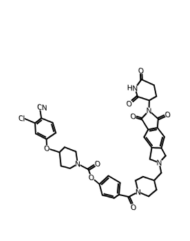 N#Cc1ccc(OC2CCN(C(=O)Oc3ccc(C(=O)N4CCC(CN5Cc6cc7c(cc6C5)C(=O)N(C5CCC(=O)NC5=O)C7=O)CC4)cc3)CC2)cc1Cl